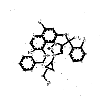 BC(Nc1cc(C(C)=O)c2ncc(C#N)c(N[C@H](CCC#N)c3ccccc3)c2c1)(C1=CN(C2CC2)NN1)c1ccccc1Cl